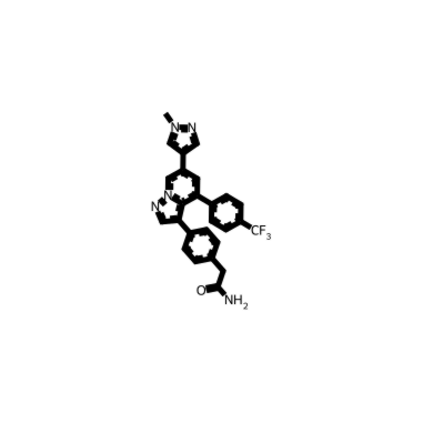 Cn1cc(-c2cc(-c3ccc(C(F)(F)F)cc3)c3c(-c4ccc(CC(N)=O)cc4)cnn3c2)cn1